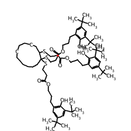 CC(C)(C)c1cc(CCCOC(=O)CCSC2CCCCCCCCCCC2(SCCC(=O)OCCCc2cc(C(C)(C)C)cc(C(C)(C)C)c2O)SCCC(=O)OCCCc2cc(C(C)(C)C)cc(C(C)(C)C)c2O)c(O)c(C(C)(C)C)c1